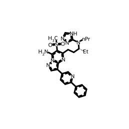 CCCN(c1nnc[nH]1)[C@H](CC)CCc1nc2c(-c3ccc(-c4ccccc4)nc3)cnn2c(N)c1S(C)(=O)=O